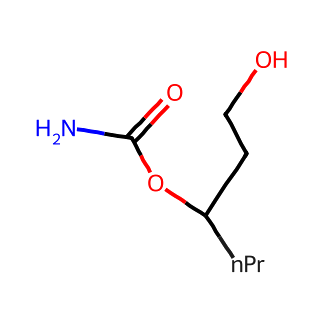 CCCC(CCO)OC(N)=O